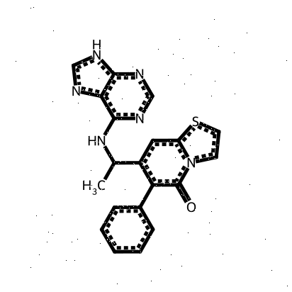 CC(Nc1ncnc2[nH]cnc12)c1cc2sccn2c(=O)c1-c1ccccc1